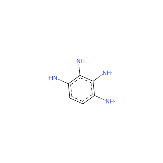 [NH]c1ccc([NH])c([NH])c1[NH]